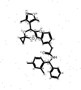 Cc1ccc([C@@H](NC(=O)Cc2ccc3oc(C(OC4(C(=O)O)CC4)c4c(C)noc4C)cc3c2)c2ccccc2)c(C)c1